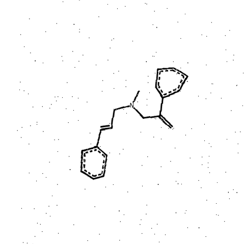 C=C(CN(C)C/C=C/c1ccccc1)c1ccccc1